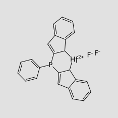 C1=C2[CH]([Hf+2][CH]3C(=Cc4ccccc43)P2c2ccccc2)c2ccccc21.[F-].[F-]